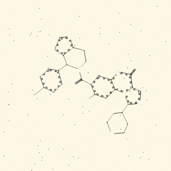 Cc1cc2c(cc1C(=O)N1CCc3sccc3C1c1ccc(Cl)cc1)[nH]c(=O)c1cnc(C3CCOCC3)n12